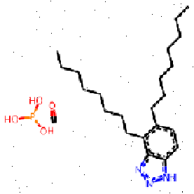 C=O.CCCCCCCCc1ccc2[nH]nnc2c1CCCCCCCC.OP(O)O